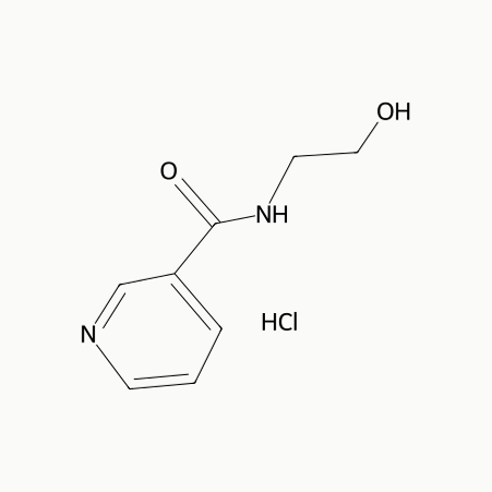 Cl.O=C(NCCO)c1cccnc1